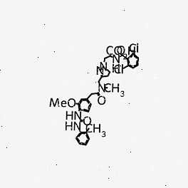 COc1cc(CC(=O)N(C)CC2=NN(CC(NC(=O)c3c(Cl)cccc3Cl)C(=O)O)CC2)ccc1NC(=O)Nc1ccccc1C